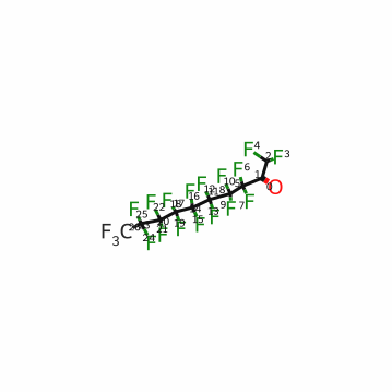 O=C(C(F)F)C(F)(F)C(F)(F)C(F)(F)C(F)(F)C(F)(F)C(F)(F)C(F)(F)C(F)(F)F